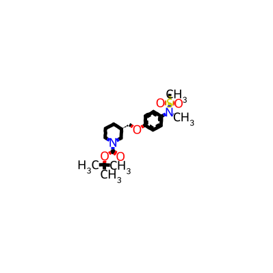 CN(c1ccc(OC[C@H]2CCCN(C(=O)OC(C)(C)C)C2)cc1)S(C)(=O)=O